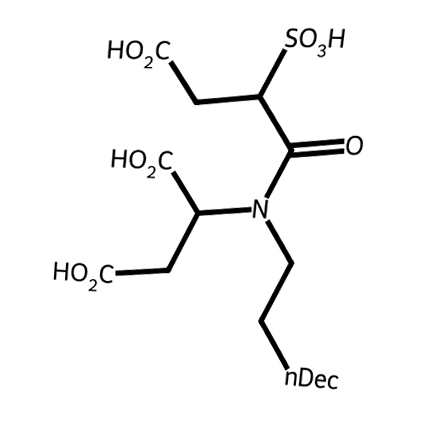 CCCCCCCCCCCCN(C(=O)C(CC(=O)O)S(=O)(=O)O)C(CC(=O)O)C(=O)O